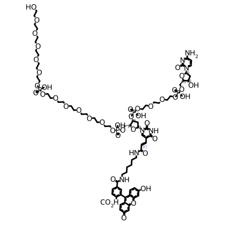 Nc1ccn([C@H]2C[C@@H](O)[C@@H](COP(=O)(O)OCCOCCOCCOP(=O)(O)O[C@@H]3C[C@H](n4cc(/C=C/C(=O)NCCCCCCNC(=O)c5ccc(C(=O)O)c(-c6c7ccc(=O)cc-7oc7cc(O)ccc67)c5)c(=O)[nH]c4=O)O[C@@H]3COP(=O)(O)OCCOCCOCCOCCOCCOCCOP(=O)(O)OCCOCCOCCOCCOCCOCCO)O2)c(=O)n1